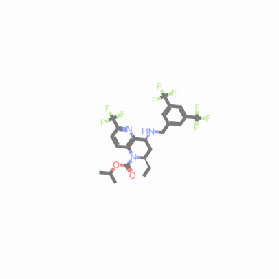 CC[C@@H]1C[C@H](NCc2cc(C(F)(F)F)cc(C(F)(F)F)c2)c2nc(C(F)(F)F)ccc2N1C(=O)OC(C)C